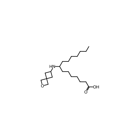 CCCCCCCC(CCCCCCC(=O)O)NC1CC2(COC2)C1